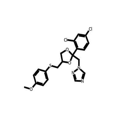 COc1ccc(SCC2COC(Cn3cncn3)(c3ccc(Cl)cc3Cl)O2)cc1